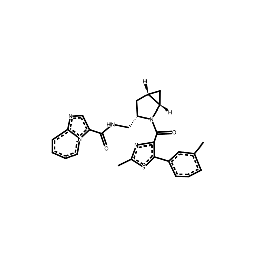 Cc1cccc(-c2sc(C)nc2C(=O)N2[C@H](CNC(=O)c3cnc4ccccn34)C[C@@H]3C[C@@H]32)c1